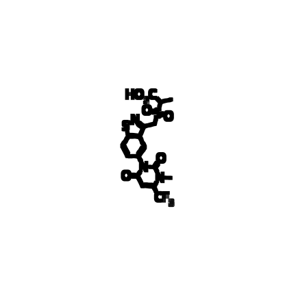 CC(C(=O)O)S(=O)(=O)Cc1nsc2ccc(-n3c(=O)cc(C(F)(F)F)n(C)c3=O)cc12